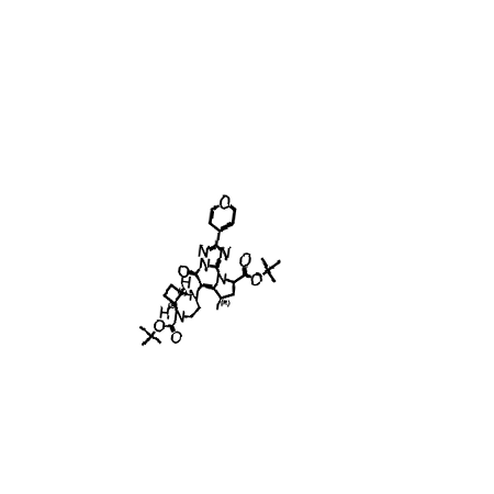 C[C@@H]1CC(C(=O)OC(C)(C)C)n2c1c(N1CCN(C(=O)OC(C)(C)C)[C@H]3CC[C@@H]31)c(=O)n1nc(C3=CCOCC3)nc21